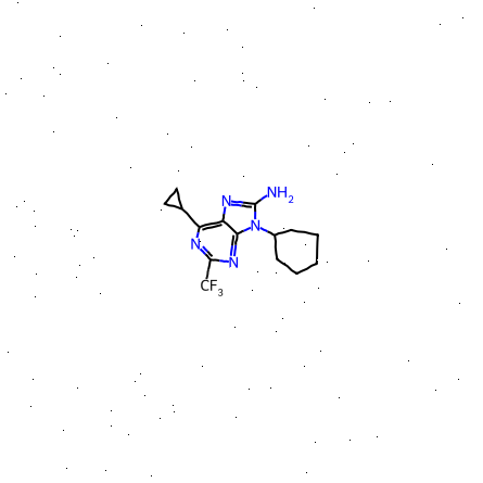 Nc1nc2c(C3CC3)nc(C(F)(F)F)nc2n1C1CCCCC1